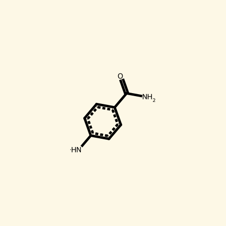 [NH]c1ccc(C(N)=O)cc1